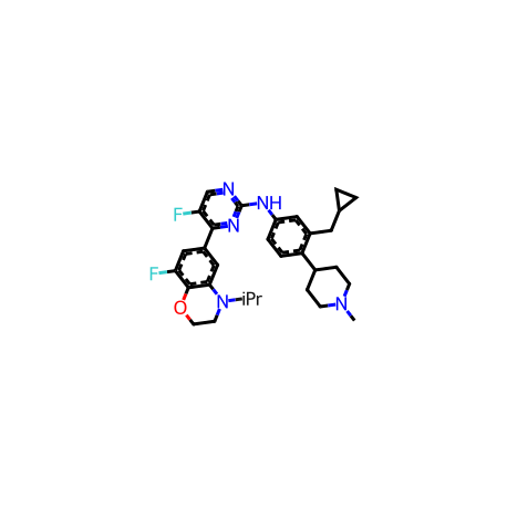 CC(C)N1CCOc2c(F)cc(-c3nc(Nc4ccc(C5CCN(C)CC5)c(CC5CC5)c4)ncc3F)cc21